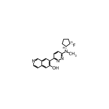 CN(c1ccc(-c2cc3cnccc3cc2O)nn1)[C@@H]1CCC[C@@H]1F